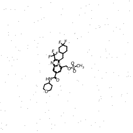 CS(=O)(=O)OCc1cc(C(=O)NC2CCOCC2)cc2nc(C(F)(F)F)c(CC3CCC(F)(F)CC3)n12